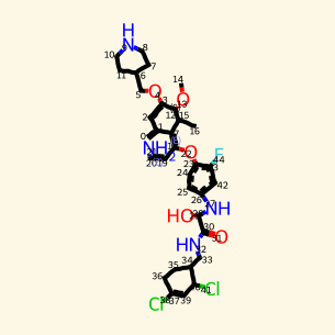 C=C1C=C(OCC2CCNCC2)[C@@H](OC)C(C)/C1=C(/C=C\N)Oc1ccc(NC(O)C(=O)NCC2CCC(Cl)=CC2Cl)cc1F